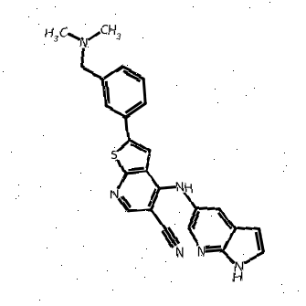 CN(C)Cc1cccc(-c2cc3c(Nc4cnc5[nH]ccc5c4)c(C#N)cnc3s2)c1